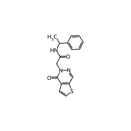 CC(NC(=O)Cn1ncc2sccc2c1=O)c1ccccc1